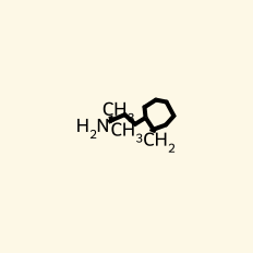 C=C1CCCCCC1CCC(C)(C)N